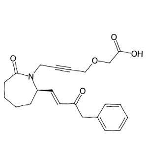 O=C(O)COCC#CCN1C(=O)CCCC[C@@H]1/C=C/C(=O)Cc1ccccc1